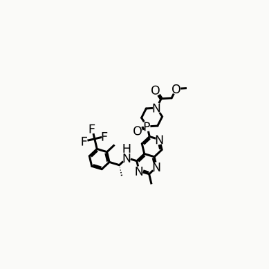 COCC(=O)N1CCP(=O)(c2cc3c(N[C@H](C)c4cccc(C(F)(F)F)c4C)nc(C)nc3cn2)CC1